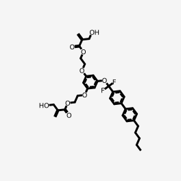 C=C(CO)C(=O)OCCOc1cc(OCCOC(=O)C(=C)CO)cc(OC(F)(F)c2ccc(-c3ccc(CCCCC)cc3)cc2)c1